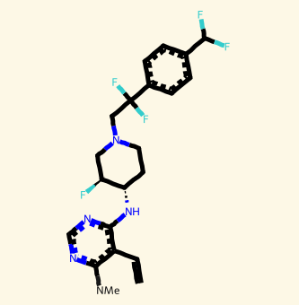 C=Cc1c(NC)ncnc1N[C@H]1CCN(CC(F)(F)c2ccc(C(F)F)cc2)C[C@@H]1F